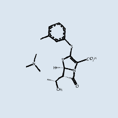 CN(C)C.Cc1cccc(SC2=C(C(=O)O)N3C(=O)[C@H]([C@@H](C)O)[C@H]3S2)c1